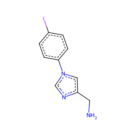 NCc1cn(-c2ccc(I)cc2)cn1